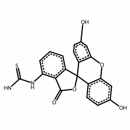 [NH]C(=S)Nc1cccc2c1C(=O)OC21c2ccc(O)cc2Oc2cc(O)ccc21